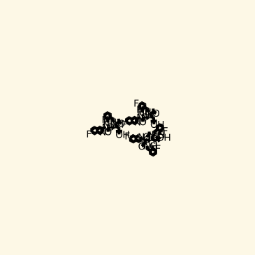 CC(=O)N(NCc1ccc(F)cc1Cl)[C@H](COC(=O)Nc1cc2ccc(F)cc2cn1)CC(C)(C)O.CC(=O)N(NCc1cccc(F)c1Cl)[C@H](CON(C(=O)NCc1cccc(F)c1Cl)c1cc2ccc(F)cc2cn1)CC(C)(C)O.CC(=O)N(NCc1ccccc1Cl)[C@H](COC(=O)Nc1cc2ccc(F)cc2cn1)CC(C)(C)O